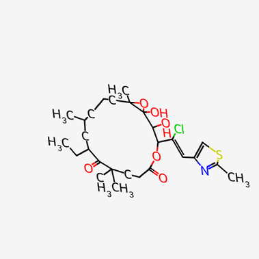 CCC1CC(C)CCCC2(C)OC2(O)C(O)C(C(Cl)=Cc2csc(C)n2)OC(=O)CCC(C)(C)C1=O